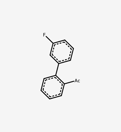 CC(=O)c1ccccc1-c1cccc(F)c1